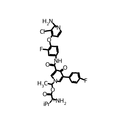 CC(C)[C@H](N)C(=O)OC(C)n1cc(C(=O)Nc2ccc(Oc3ccnc(N)c3Cl)c(F)c2)c(=O)c(-c2ccc(F)cc2)c1